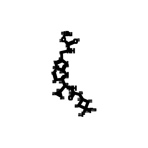 CC(C)(C)OC(=O)NCc1cn2ccc(C(NC(=O)CC3CC(F)(F)C3)C3CC3)nc2n1